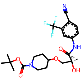 CC(C)(C)OC(=O)N1CCC(OC[C@](C)(O)C(=O)Nc2ccc(C#N)c(C(F)(F)F)c2)CC1